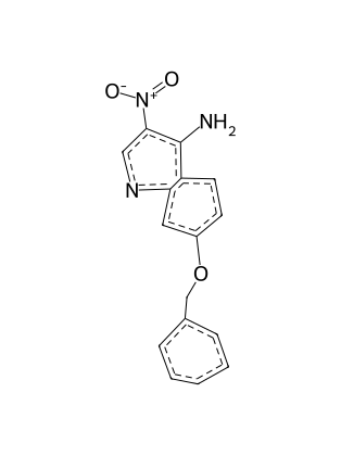 Nc1c([N+](=O)[O-])cnc2cc(OCc3ccccc3)ccc12